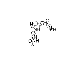 CN1CCN(C(=O)c2ccc(-c3ccc4nccc(Nc5ccc6sc(NC(=O)C7CC7)nc6c5)c4c3)c(F)c2)CC1